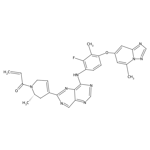 C=CC(=O)N1CC=C(c2ncc3ncnc(Nc4ccc(Oc5cc(C)n6ncnc6c5)c(C)c4F)c3n2)C[C@@H]1C